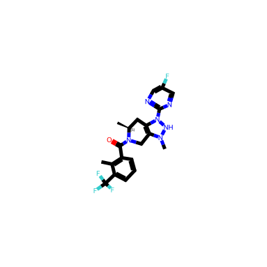 Cc1c(C(=O)N2CC3=C(C[C@@H]2C)N(c2ncc(F)cn2)NN3C)cccc1C(F)(F)F